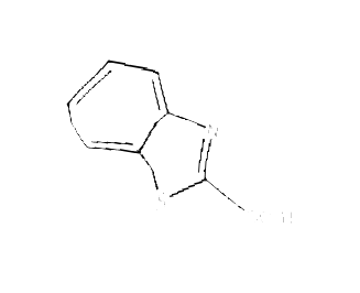 O=S(=O)(O)c1nc2ccccc2s1